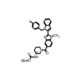 Cn1c(-c2cc3ccccc3n2Cc2ccc(I)cc2)nc2cc(C(=O)N3CCC[C@@H](NC(=O)OC(C)(C)C)C3)ccc21